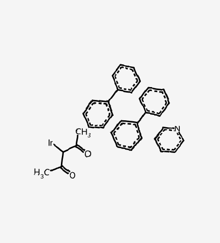 CC(=O)[CH]([Ir])C(C)=O.c1ccc(-c2ccccc2)cc1.c1ccc(-c2ccccc2)cc1.c1ccncc1